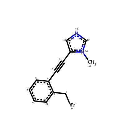 CC(C)Cc1ccccc1C#Cc1cncn1C